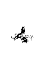 CCC(CC)c1nc(C(=O)Nc2cccc(C(=O)O)c2)c(CCC23CC4CC(CC(C4)C2)C3)[nH]1